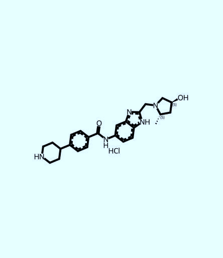 C[C@H]1C[C@H](O)CN1Cc1nc2cc(NC(=O)c3ccc(C4CCNCC4)cc3)ccc2[nH]1.Cl